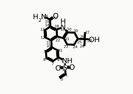 C=CS(=O)(=O)Nc1cccc(-c2ccc(C(N)=O)c3[nH]c4c(c23)CCC(C(C)(C)O)C4)c1